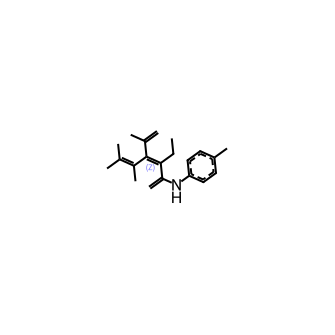 C=C(Nc1ccc(C)cc1)/C(CC)=C(/C(=C)C)C(C)=C(C)C